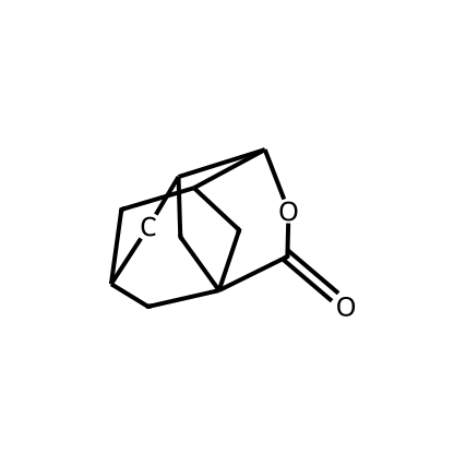 O=C1OC2C3CC4CC2CC1(C4)C3